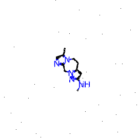 CNc1cc2n(n1)Cc1ncc(C)n1CC2